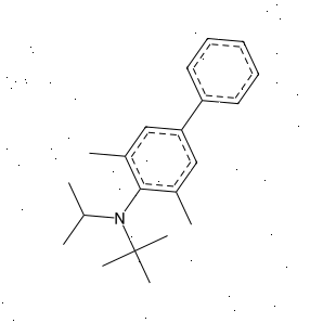 Cc1cc(-c2ccccc2)cc(C)c1N(C(C)C)C(C)(C)C